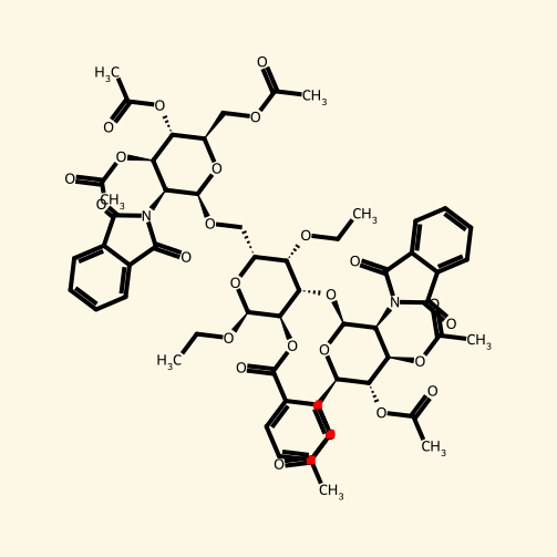 CCO[C@H]1O[C@H](CO[C@@H]2O[C@H](COC(C)=O)[C@@H](OC(C)=O)[C@H](OC(C)=O)[C@@H]2N2C(=O)c3ccccc3C2=O)[C@H](OCC)[C@H](O[C@@H]2O[C@H](COC(C)=O)[C@@H](OC(C)=O)[C@H](OC(C)=O)[C@@H]2N2C(=O)c3ccccc3C2=O)[C@H]1OC(=O)c1ccccc1